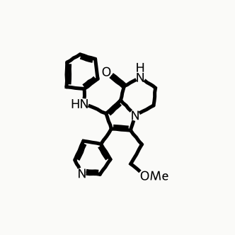 COCCc1c(-c2ccncc2)c(Nc2ccccc2)c2n1CCNC2=O